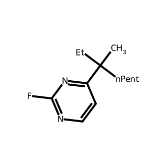 CCCCCC(C)(CC)c1ccnc(F)n1